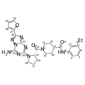 CCc1cccc(NC(=O)C2CCN(C(=O)[C@@H]3CCCN3c3nc(N)n4nc(-c5ccco5)nc4n3)CC2)c1